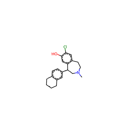 CN1CCc2cc(Cl)c(O)cc2C(c2ccc3c(c2)CCCC3)C1